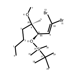 CCCC[C@@](C)(OC)[C@@H](C=C(Br)Br)O[Si](C)(C)C(C)(C)C